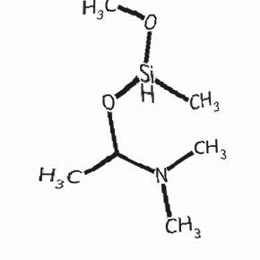 CO[SiH](C)OC(C)N(C)C